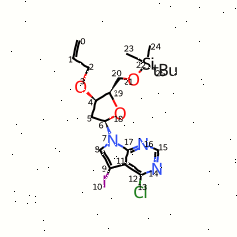 C=CCO[C@@H]1C[C@H](n2cc(I)c3c(Cl)ncnc32)O[C@@H]1CO[Si](C)(C)C(C)(C)C